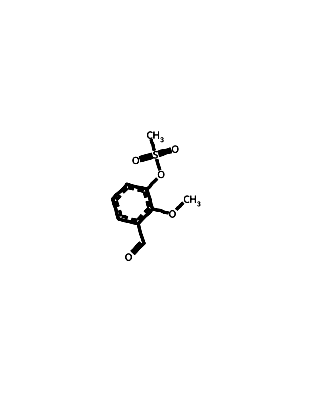 COc1c(C=O)cccc1OS(C)(=O)=O